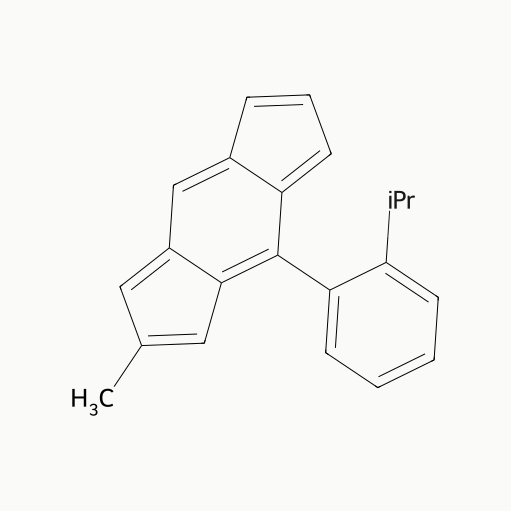 CC1=Cc2c(-c3ccccc3C(C)C)c3c(cc2=C1)C=CC=3